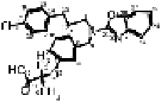 CC(C)(Oc1cccc(CN(CCCc2ccc(Cl)cc2)c2nc3ccccc3o2)c1)C(=O)O